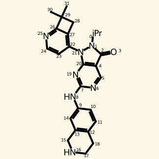 CC(C)n1c(=O)c2cnc(Nc3ccc4c(c3)CNCC4)nc2n1-c1ccnc2c1CC2(C)C